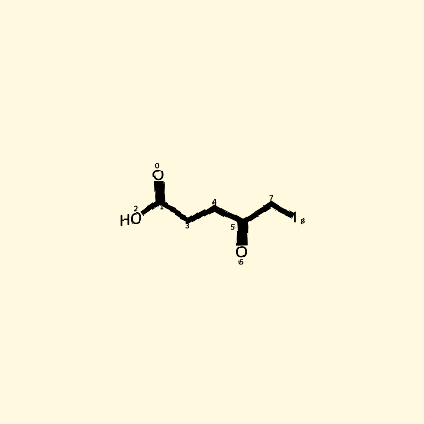 O=C(O)CCC(=O)CI